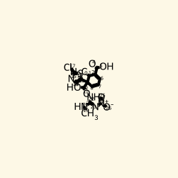 CC1C(C(=O)O)=CC=CC1(C(=O)O)c1cnc(Cl)s1.CNC(N)=N[N+](=O)[O-]